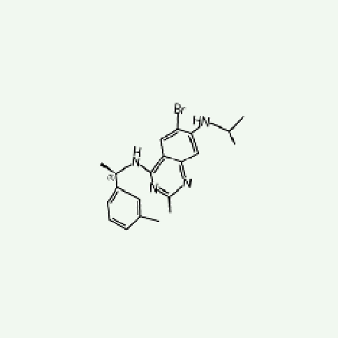 Cc1cccc([C@@H](C)Nc2nc(C)nc3cc(NC(C)C)c(Br)cc23)c1